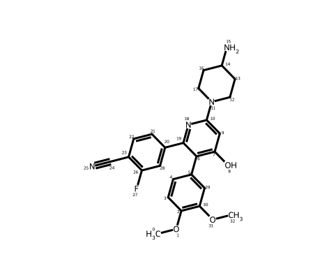 COc1ccc(-c2c(O)cc(N3CCC(N)CC3)nc2-c2ccc(C#N)c(F)c2)cc1OC